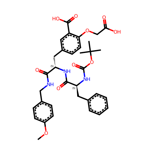 COc1ccc(CNC(=O)[C@H](Cc2ccc(OCC(=O)O)c(C(=O)O)c2)NC(=O)[C@H](Cc2ccccc2)NC(=O)OC(C)(C)C)cc1